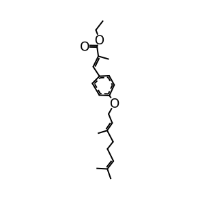 CCOC(=O)/C(C)=C/c1ccc(OC/C=C(\C)CCC=C(C)C)cc1